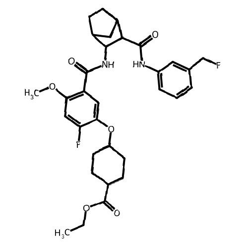 CCOC(=O)C1CCC(Oc2cc(C(=O)NC3C4CCC(C4)C3C(=O)Nc3cccc(CF)c3)c(OC)cc2F)CC1